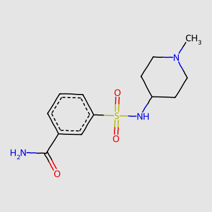 CN1CCC(NS(=O)(=O)c2cccc(C(N)=O)c2)CC1